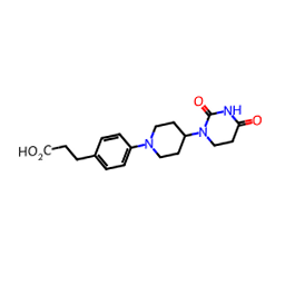 O=C(O)CCc1ccc(N2CCC(N3CCC(=O)NC3=O)CC2)cc1